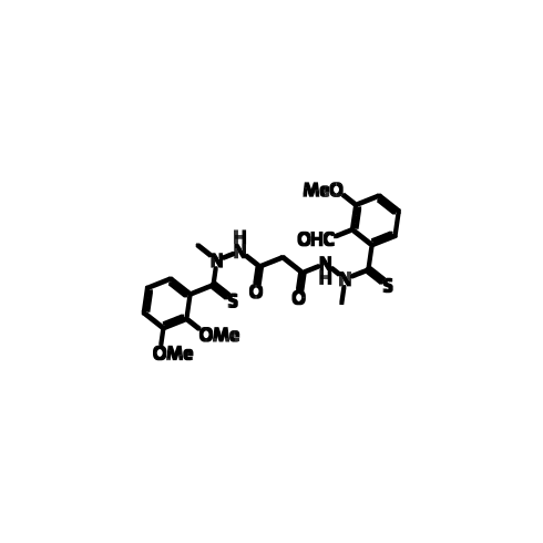 COc1cccc(C(=S)N(C)NC(=O)CC(=O)NN(C)C(=S)c2cccc(OC)c2OC)c1C=O